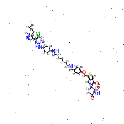 Cn1ncc(-c2nc(NC3CCC(NCCCCCCCNCc4ccc(OCc5scc6c5CN(C5CCC(=O)NC5=O)C6=O)cc4)CC3)ncc2Cl)c1CC1CC1